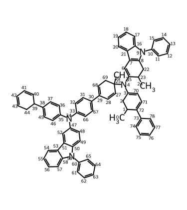 CC1CC(N(C2=Cc3c(n(-c4ccccc4)c4ccccc34)CC2C)C2(C)C=CC(c3ccc(N(c4ccc(C5C=CC=CC5)cc4)c4ccc5c(c4)c4ccccc4n5-c4ccccc4)cc3)=CC2)=CC=C1c1ccccc1